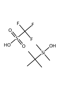 CC(C)(C)[Si](C)(C)O.O=S(=O)(O)C(F)(F)F